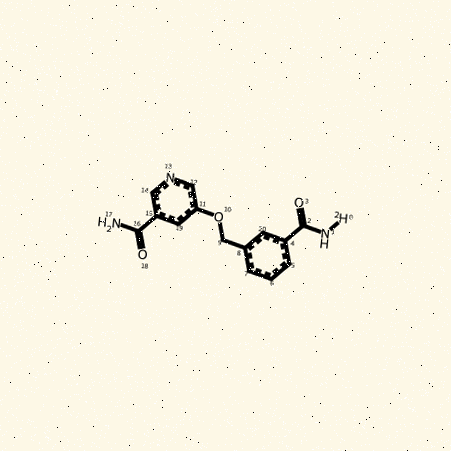 [2H]NC(=O)c1cccc(COc2cncc(C(N)=O)c2)c1